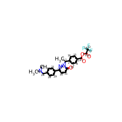 C[C@@H](c1ccc(C(=O)OC(=O)C(F)(F)F)cc1)n1nc(-c2ccc(CN(C)C)cc2)ccc1=O